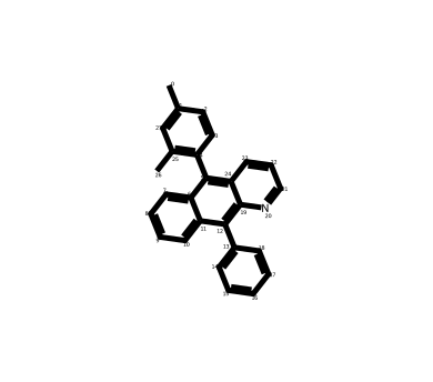 Cc1ccc(-c2c3ccccc3c(-c3ccccc3)c3ncccc23)c(C)c1